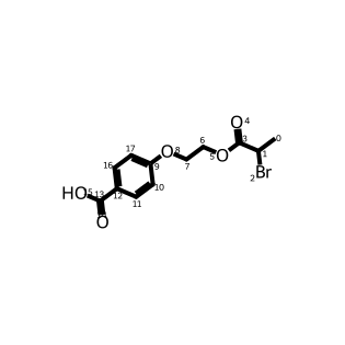 CC(Br)C(=O)OCCOc1ccc(C(=O)O)cc1